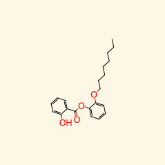 CCCCCCCCOc1ccccc1OC(=O)c1ccccc1O